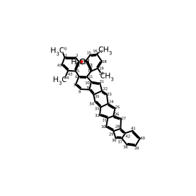 Cc1cc(C)c(-c2ccc3c(c2-c2c(C)cc(C)cc2C)=Cc2cc4cc5cc6c(cc5cc4cc2=3)C=c2ccccc2=6)c(C)c1